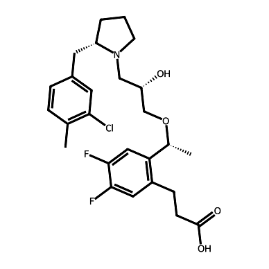 Cc1ccc(C[C@@H]2CCCN2C[C@H](O)CO[C@H](C)c2cc(F)c(F)cc2CCC(=O)O)cc1Cl